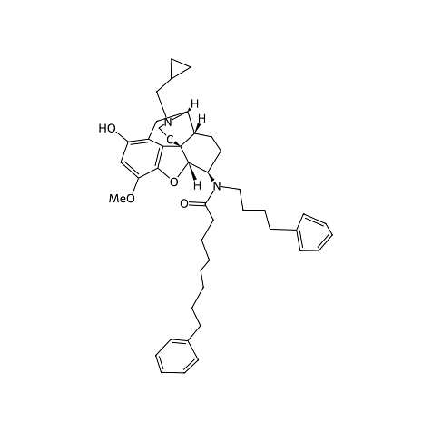 COc1cc(O)c2c3c1O[C@H]1[C@H](N(CCCCc4ccccc4)C(=O)CCCCCCCc4ccccc4)CC[C@H]4[C@@H](C2)N(CC2CC2)CC[C@@]341